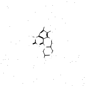 Cc1cc2c3c(nc(=O)n2I)N2CC(C)N(C)CC2COc3c1F